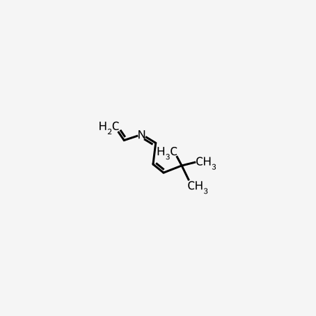 C=C/N=C\C=C/C(C)(C)C